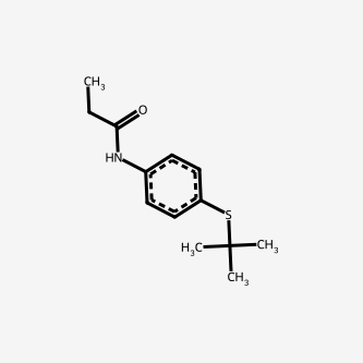 CCC(=O)Nc1ccc(SC(C)(C)C)cc1